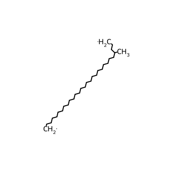 [CH2]CCCCCCCCCCCCCCCCCCCCCCCCC(C)CC[CH2]